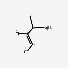 CC([SiH3])C(Cl)=CCl